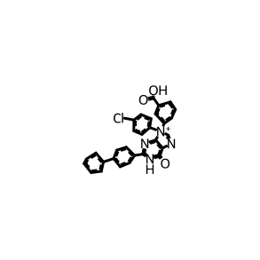 O=C(O)c1cccc([N+]2(c3ccc(Cl)cc3)C=Nc3c2nc(-c2ccc(-c4ccccc4)cc2)[nH]c3=O)c1